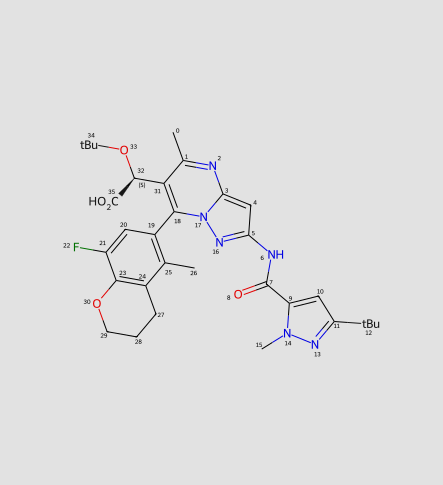 Cc1nc2cc(NC(=O)c3cc(C(C)(C)C)nn3C)nn2c(-c2cc(F)c3c(c2C)CCCO3)c1[C@H](OC(C)(C)C)C(=O)O